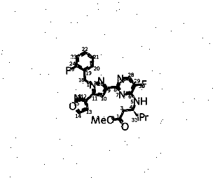 COC(=O)C[C@@H](Nc1nc(-c2cc(-c3ccon3)n(Cc3ccccc3F)n2)ncc1F)C(C)C